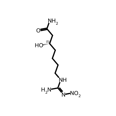 NC(=O)C[C@@H](O)CCCCNC(N)=N[N+](=O)[O-]